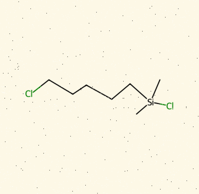 C[Si](C)(Cl)CCCCCCl